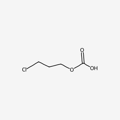 O=C(O)OCCCCl